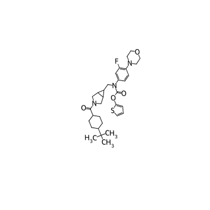 CC(C)(C)C1CCC(C(=O)N2CC3C(C2)C3CN(C(=O)Oc2cccs2)c2ccc(N3CCOCC3)c(F)c2)CC1